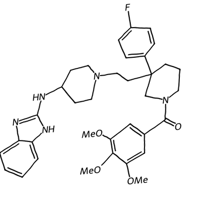 COc1cc(C(=O)N2CCCC(CCN3CCC(Nc4nc5ccccc5[nH]4)CC3)(c3ccc(F)cc3)C2)cc(OC)c1OC